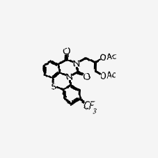 CC(=O)OCC(Cn1c(=O)c2cccc3c2n(c1=O)-c1cc(C(F)(F)F)ccc1S3)OC(C)=O